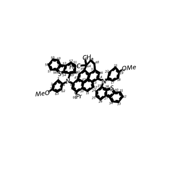 COc1ccc(N(c2cc(C(C)C)c3ccc4c(N(c5ccc(OC)cc5)c5cccc6c5sc5ccccc56)cc5c6c(cc2c3c46)C(C)(C)CC5)c2cccc3c2sc2ccccc23)cc1